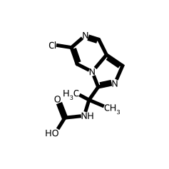 CC(C)(NC(=O)O)c1ncc2cnc(Cl)cn12